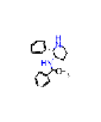 C[C@H](N[C@H]1CCCN[C@H]1c1ccccc1)c1ccccc1